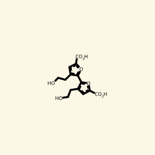 O=C(O)c1cc(CCO)c(-c2oc(C(=O)O)cc2CCO)o1